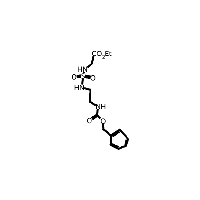 CCOC(=O)CNS(=O)(=O)NCCNC(=O)OCc1ccccc1